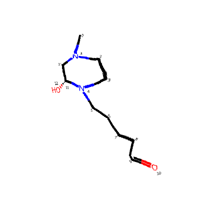 CN1CCN(CCCCC=O)[C@H](O)C1